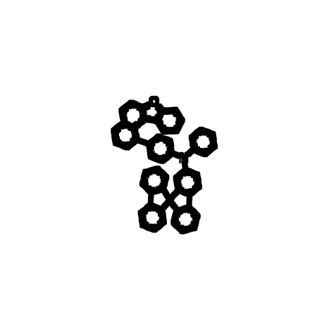 c1ccc(N(c2ccc(-c3cccc4ccc5oc6ccccc6c5c34)cc2)c2ccc3c(c2)C2(c4ccccc4-c4ccccc42)c2ccccc2-3)cc1